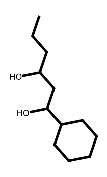 CCCC(O)CC(O)C1CCCCC1